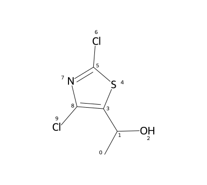 CC(O)c1sc(Cl)nc1Cl